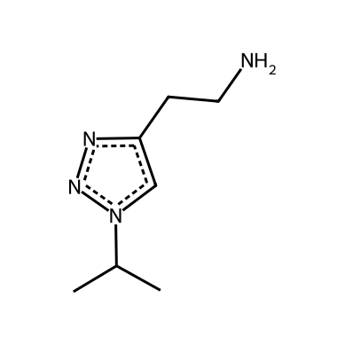 CC(C)n1cc(CCN)nn1